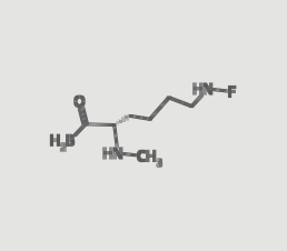 BC(=O)[C@H](CCCCNF)NC